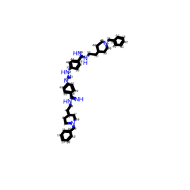 N=C(NCCC1CCN(Cc2ccccc2)CC1)c1ccc(/N=N/Nc2ccc(C(=N)NCCC3CCN(Cc4ccccc4)CC3)cc2)cc1